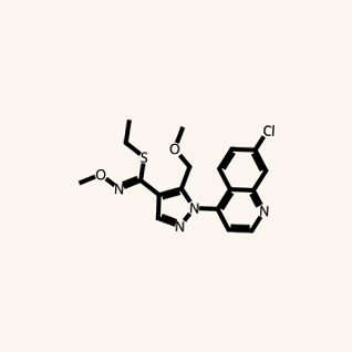 CCS/C(=N\OC)c1cnn(-c2ccnc3cc(Cl)ccc23)c1COC